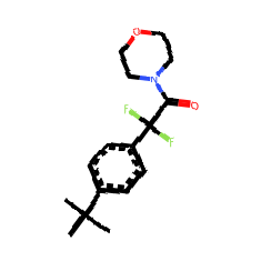 CC(C)(C)c1ccc(C(F)(F)C(=O)N2CCOCC2)cc1